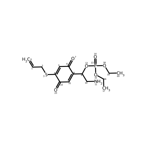 C=CCSC1=CC(=O)C(C(CN)OP(=O)(OCC)OCC)=CC1=O